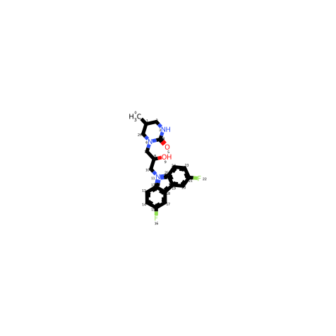 CC1CNC(=O)N(CC(O)Cn2c3ccc(F)cc3c3cc(F)ccc32)C1